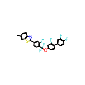 Cc1ccc2nc(-c3ccc(C(F)(F)Oc4ccc(-c5ccc(F)c(F)c5)c(F)c4)c(F)c3)sc2c1